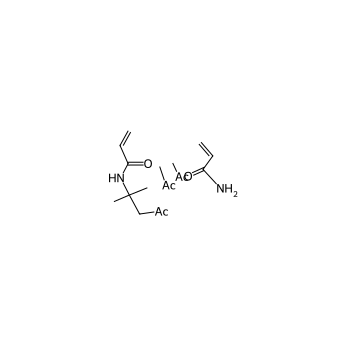 C=CC(=O)NC(C)(C)CC(C)=O.C=CC(N)=O.CC(C)=O.CC(C)=O